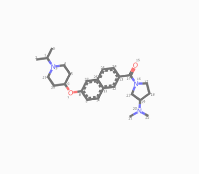 CC(C)N1CCC(Oc2ccc3cc(C(=O)N4CCC(N(C)C)C4)ccc3c2)CC1